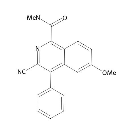 CNC(=O)c1nc(C#N)c(-c2ccccc2)c2cc(OC)ccc12